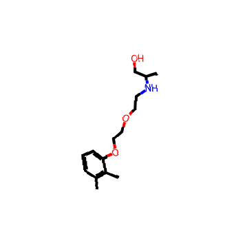 Cc1cccc(OCCOCCNC(C)CO)c1C